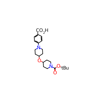 CC(C)(C)OC(=O)N1CCC(OC2CCN(c3ccc(C(=O)O)cc3)CC2)CC1